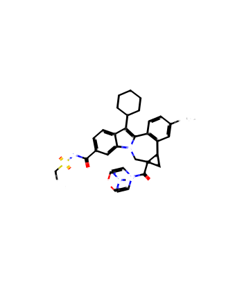 COc1ccc2c(c1)C1CC1(C(=O)N1C=c3oc(n3C)=C1)Cn1c-2c(C2CCCCC2)c2ccc(C(=O)NS(=O)(=O)CC(F)(F)F)cc21